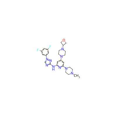 CN1CCN(c2cc(N3CCN(C4COC4)CC3)cc(Nc3ncn(-c4cc(F)cc(F)c4)n3)n2)CC1